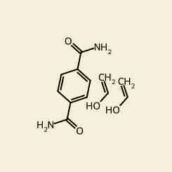 C=CO.C=CO.NC(=O)c1ccc(C(N)=O)cc1